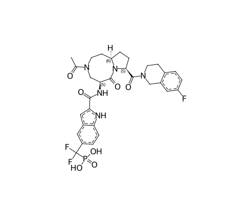 CC(=O)N1CC[C@H]2CC[C@@H](C(=O)N3CCc4ccc(F)cc4C3)N2C(=O)[C@@H](NC(=O)c2cc3cc(C(F)(F)P(=O)(O)O)ccc3[nH]2)C1